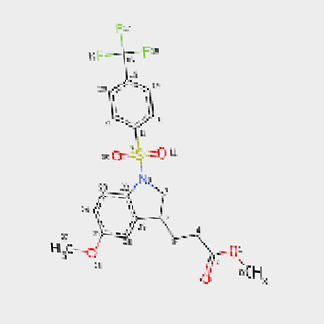 COC(=O)CCC1CN(S(=O)(=O)c2ccc(C(F)(F)F)cc2)c2ccc(OC)cc21